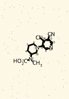 CN(C(=O)O)C1CCCN(c2cncc(C#N)c2Cl)C1